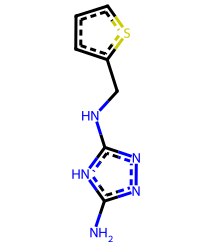 Nc1nnc(NCc2cccs2)[nH]1